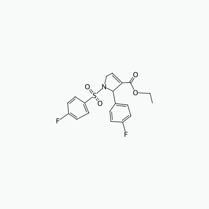 CCOC(=O)C1=CCN(S(=O)(=O)c2ccc(F)cc2)C1c1ccc(F)cc1